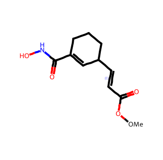 COOC(=O)/C=C/C1C=C(C(=O)NO)CCC1